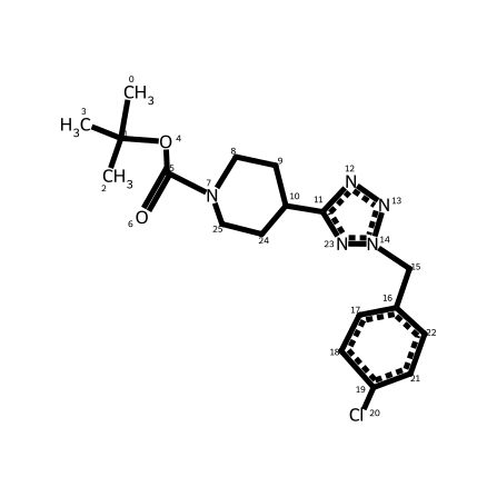 CC(C)(C)OC(=O)N1CCC(c2nnn(Cc3ccc(Cl)cc3)n2)CC1